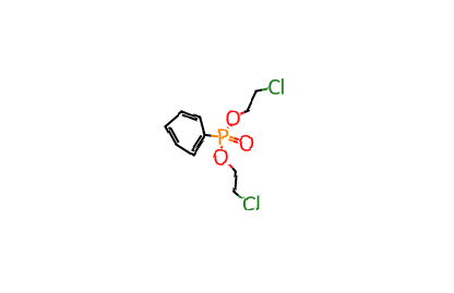 O=P(OCCCl)(OCCCl)c1ccccc1